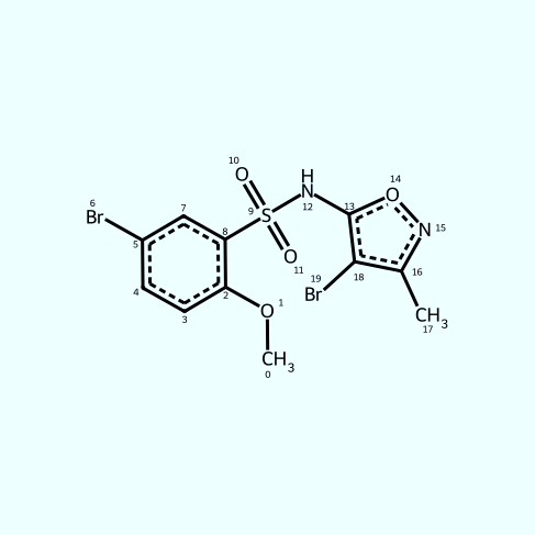 COc1ccc(Br)cc1S(=O)(=O)Nc1onc(C)c1Br